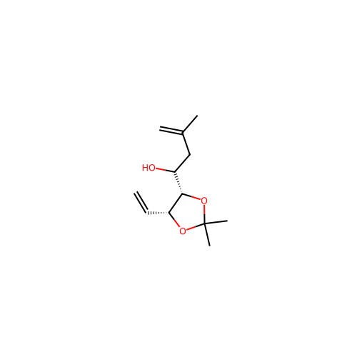 C=C[C@H]1OC(C)(C)O[C@H]1C(O)CC(=C)C